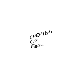 [Fe+3].[O-2].[O-2].[O-2].[Tb+3]